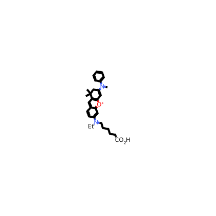 CCN(CCCCCC(=O)O)c1ccc2cc3c([o+]c2c1)C=C(N(C)c1ccccc1)CC3(C)C